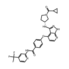 O=C(Nc1cc(C(F)(F)F)ccn1)c1ccc(Oc2ccnc3[nH]nc(N[C@@H]4CCN(C(=O)C5CC5)C4)c23)cc1